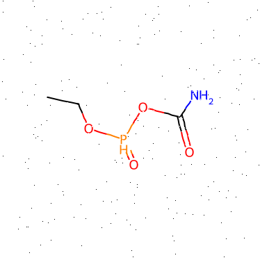 CCO[PH](=O)OC(N)=O